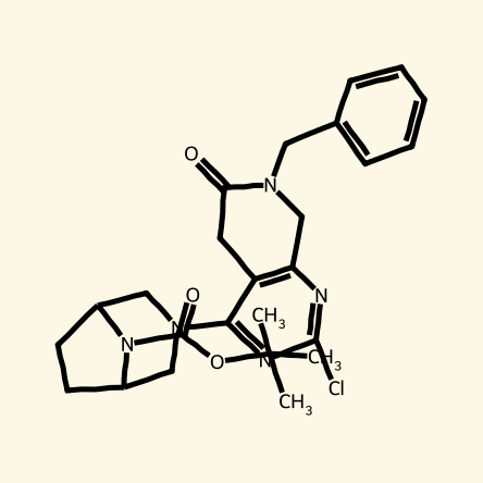 CC(C)(C)OC(=O)N1C2CCC1CN(c1nc(Cl)nc3c1CC(=O)N(Cc1ccccc1)C3)C2